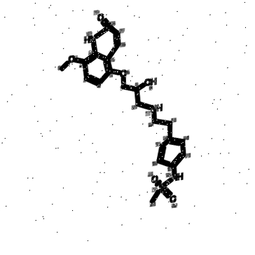 COc1ccc(OCC(O)CNCCc2ccc(NS(C)(=O)=O)cc2)c2ccc(=O)[nH]c12